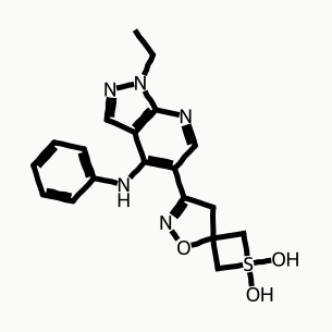 CCn1ncc2c(Nc3ccccc3)c(C3=NOC4(C3)CS(O)(O)C4)cnc21